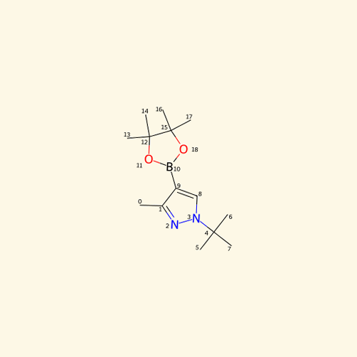 Cc1nn(C(C)(C)C)cc1B1OC(C)(C)C(C)(C)O1